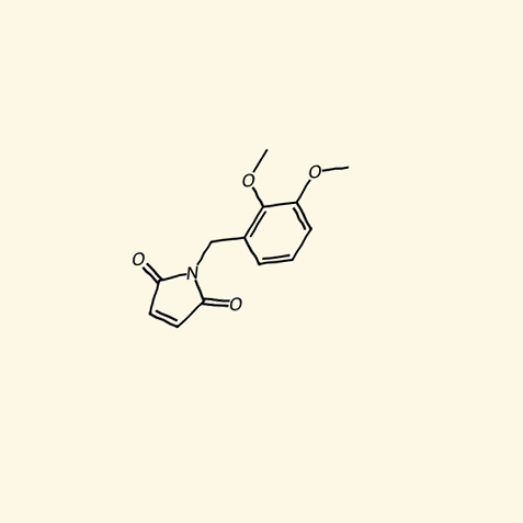 COc1cccc(CN2C(=O)C=CC2=O)c1OC